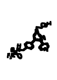 O=S(=O)(NCc1ccc(-c2cn(CCO)nc2-c2ccncc2)cc1)C(F)(F)F